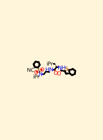 CC(C)C[C@H](NC(=O)c1cc2ccccc2s1)C(=O)NCCCN(C(C)C)S(=O)(=O)c1ccccc1C#N